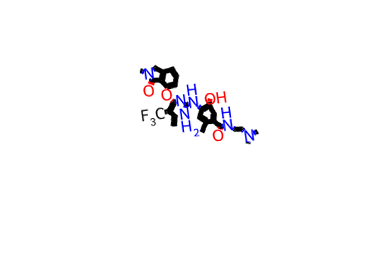 C=C/C(=C(\N=C(/N)Nc1cc(C)c(C(=O)NCCN(C)C)cc1O)Oc1cccc2c1C(=O)N(C)C2)C(F)(F)F